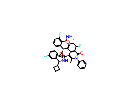 Cc1c(C(=O)N[C@H](c2cccc(F)c2)C2CCC2)c2c(c(=O)n1-c1ccccc1)C(F)CC=C2[C@H](c1cccc(F)c1C(N)=O)C1CC1